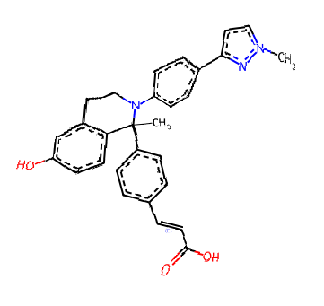 Cn1ccc(-c2ccc(N3CCc4cc(O)ccc4C3(C)c3ccc(/C=C/C(=O)O)cc3)cc2)n1